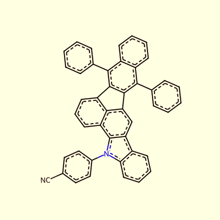 N#Cc1ccc(-n2c3ccccc3c3cc4c5c(cccc5c32)-c2c-4c(-c3ccccc3)c3ccccc3c2-c2ccccc2)cc1